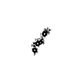 CN(C)S(=O)(=O)c1ccc(NCC(O)(c2ccc3c(cnn3-c3ccc(F)cc3)c2)C(F)(F)F)cc1